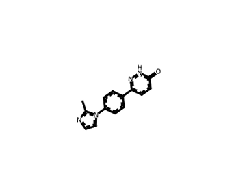 Cc1nccn1-c1ccc(-c2ccc(=O)[nH]n2)cc1